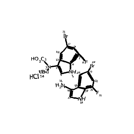 CC(C)(C)N(C(=O)O)c1c[nH]c2c(F)cc(Br)cc12.Cl.Nc1c[nH]c2c(F)cc(Br)cc12